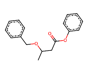 CC(CC(=O)Oc1ccccc1)OCc1ccccc1